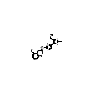 Cc1nc(CO)c(-c2csc(NC(=O)Cc3c(F)cccc3F)n2)s1